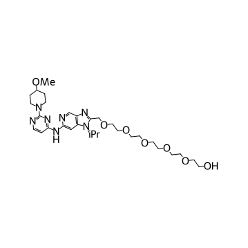 COC1CCN(c2nccc(Nc3cc4c(cn3)nc(COCCOCCOCCOCCOCCO)n4C(C)C)n2)CC1